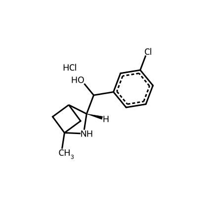 CC12CC(C1)[C@H](C(O)c1cccc(Cl)c1)N2.Cl